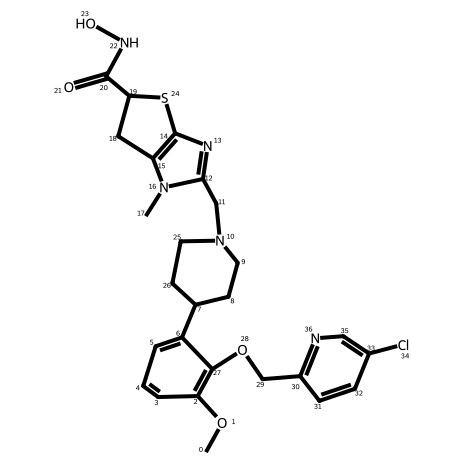 COc1cccc(C2CCN(Cc3nc4c(n3C)CC(C(=O)NO)S4)CC2)c1OCc1ccc(Cl)cn1